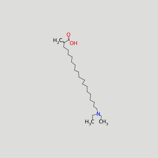 C=C(CCCCCCCCCCCCCCCCCCN(CC)CC)C(=O)O